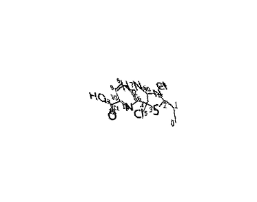 CCC1SC(Cl)(c2cccc(C(=O)O)n2)C(N)N1Cl